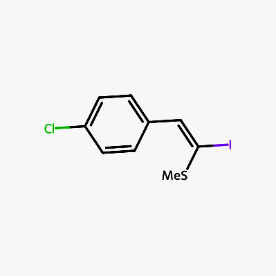 CS/C(I)=C\c1ccc(Cl)cc1